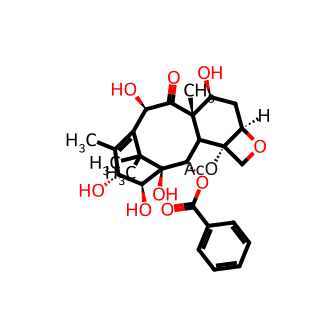 CC(=O)O[C@@]12CO[C@@H]1C[C@H](O)[C@@]1(C)C(=O)[C@H](O)C3=C(C)[C@@H](O)[C@H](O)[C@@](O)([C@@H](OC(=O)c4ccccc4)C12)C3(C)C